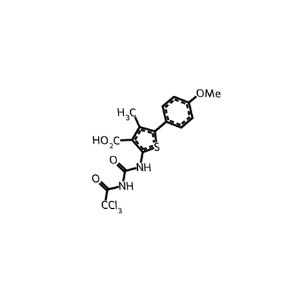 COc1ccc(-c2sc(NC(=O)NC(=O)C(Cl)(Cl)Cl)c(C(=O)O)c2C)cc1